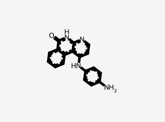 Nc1ccc(Nc2ccnc3[nH]c(=O)c4ccccc4c23)cc1